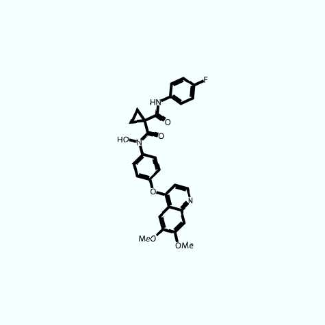 COc1cc2nccc(Oc3ccc(N(O)C(=O)C4(C(=O)Nc5ccc(F)cc5)CC4)cc3)c2cc1OC